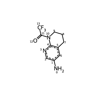 Nc1cnc2c(c1)CCCN2C(=O)C(F)(F)F